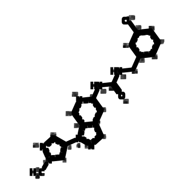 Cn1cc(-n2ncc3cc(NC(=O)NCc4cccc(Cl)c4)ncc32)cn1